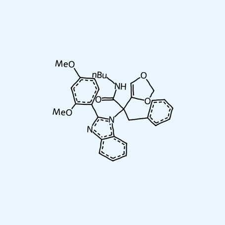 CCCCNC(=O)C(Cc1ccccc1)(C1=COCO1)n1c(-c2ccc(OC)cc2OC)nc2ccccc21